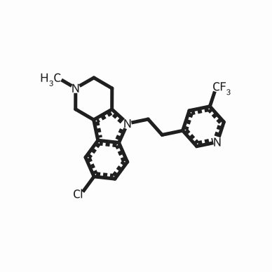 CN1CCc2c(c3cc(Cl)ccc3n2CCc2cncc(C(F)(F)F)c2)C1